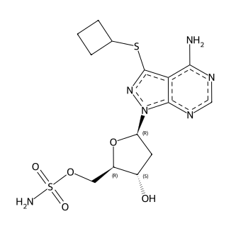 Nc1ncnc2c1c(SC1CCC1)nn2[C@H]1C[C@H](O)[C@@H](COS(N)(=O)=O)O1